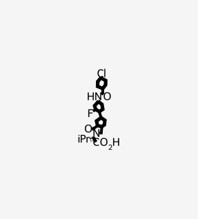 CC(C)[C@@H](C(=O)O)N1Cc2ccc(-c3ccc(NC(=O)c4ccc(Cl)cc4)cc3F)cc2C1=O